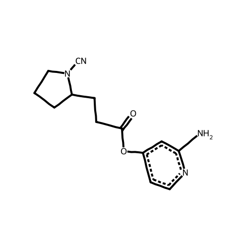 N#CN1CCCC1CCC(=O)Oc1ccnc(N)c1